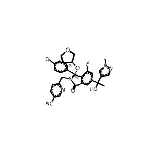 Cn1cc(C(C)(O)c2cc(F)c3c(c2)C(=O)N(Cc2ccc(C#N)cn2)[C@@]3(O[C@H]2CCOC2)c2ccc(Cl)cc2)cn1